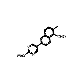 CSc1ncc(-c2ccc3c(C=O)c(C)ccc3c2)cn1